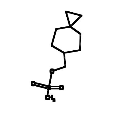 CS(=O)(=O)OCC1CCC2(CC1)CC2